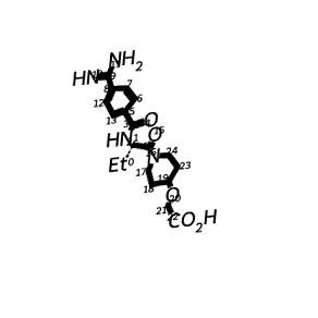 CC[C@H](NC(=O)c1ccc(C(=N)N)cc1)C(=O)N1CCC(OCC(=O)O)CC1